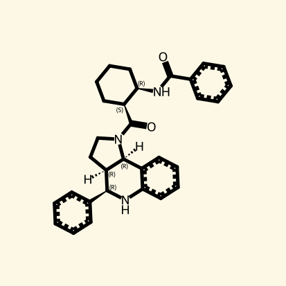 O=C(N[C@@H]1CCCC[C@@H]1C(=O)N1CC[C@@H]2[C@H](c3ccccc3)Nc3ccccc3[C@@H]21)c1ccccc1